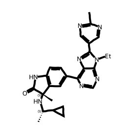 CCn1c(-c2cnc(C)nc2)nc2c(-c3ccc4c(c3)[C@](C)(N[C@@H](C)C3CC3)C(=O)N4)ncnc21